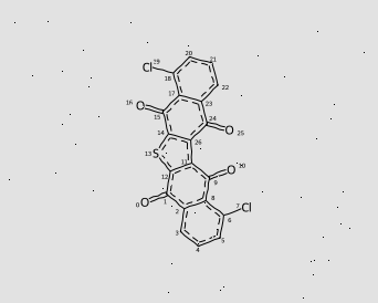 O=c1c2cccc(Cl)c2c(=O)c2c1sc1c(=O)c3c(Cl)cccc3c(=O)c12